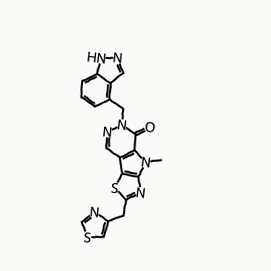 Cn1c2nc(Cc3cscn3)sc2c2cnn(Cc3cccc4[nH]ncc34)c(=O)c21